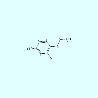 Cc1cc(Cl)ccc1CCO